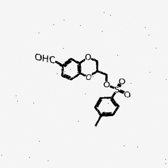 Cc1ccc(S(=O)(=O)OCC2COc3cc(C=O)ccc3O2)cc1